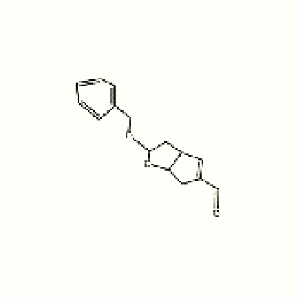 O=CC1=CC2CC(OCc3ccccc3)OC2C1